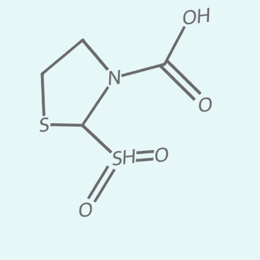 O=C(O)N1CCSC1[SH](=O)=O